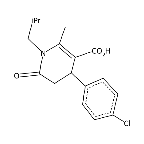 CC1=C(C(=O)O)C(c2ccc(Cl)cc2)CC(=O)N1CC(C)C